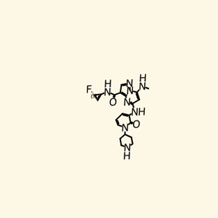 CNc1cc(Nc2cccn(C3CCNCC3)c2=O)nc2c(C(=O)NC3=C[C@@H]3F)cnn12